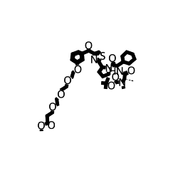 COC(=O)CCOCCOCCOCCOc1cccc(C(=O)c2csc(C3CCCN3C(=O)[C@@H](NC(=O)[C@H](C)N(C)C(=O)OC(C)(C)C)C3CCCCC3)n2)c1